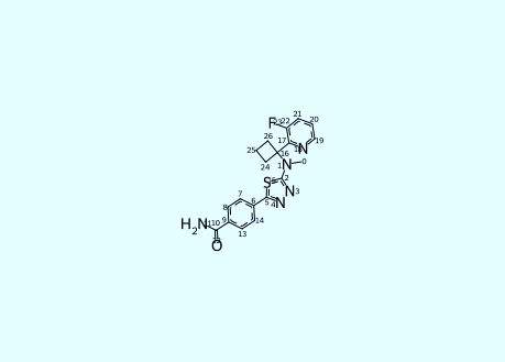 CN(c1nnc(-c2ccc(C(N)=O)cc2)s1)C1(c2ncccc2F)CCC1